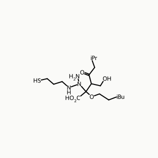 CCC(C)CCOC(C(=O)O)(C(CO)C(=O)CC(C)C)N(N)NCCCS